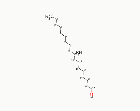 CCCCCCCCCCCCCCCCCC=O.[KH]